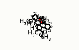 COC(=O)C1=C(C)NC(C)=C(C(=O)OC)C1c1ccccc1-c1nc(-c2cccc(OC)c2)cs1